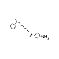 C=C(CCCCCCCC(=C)c1ccc(N)cc1)c1ccccc1